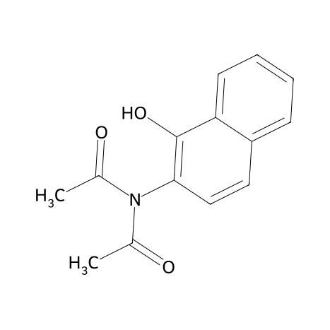 CC(=O)N(C(C)=O)c1ccc2ccccc2c1O